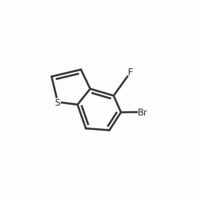 Fc1c(Br)ccc2sccc12